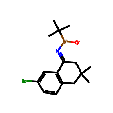 CC1(C)CC(=N[S+]([O-])C(C)(C)C)c2cc(Br)ccc2C1